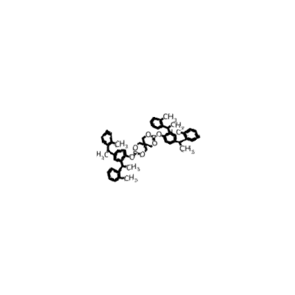 Cc1ccccc1C(C)c1ccc(OP2OCC3(CO2)COP(Oc2ccc(C(C)c4ccccc4C)cc2C(C)c2ccccc2C)OC3)c(C(C)c2ccccc2C)c1